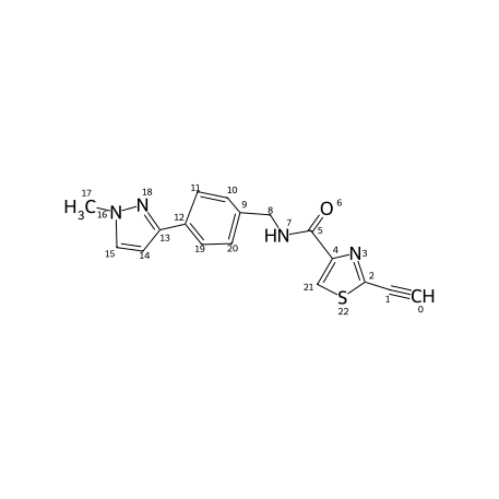 C#Cc1nc(C(=O)NCc2ccc(-c3ccn(C)n3)cc2)cs1